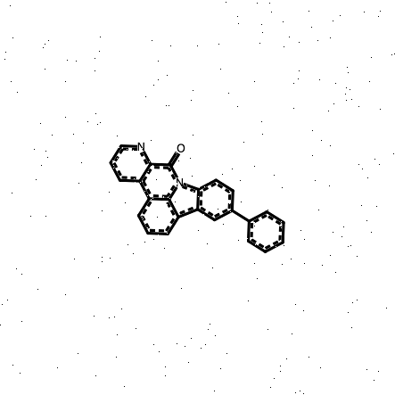 O=c1c2ncccc2c2cccc3c4cc(-c5ccccc5)ccc4n1c23